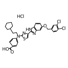 Cl.O=C(O)c1ccc(N(CCC2CCCCC2)c2nc(-c3nc4cc(OCc5ccc(Cl)c(Cl)c5)ccc4[nH]3)cs2)cc1